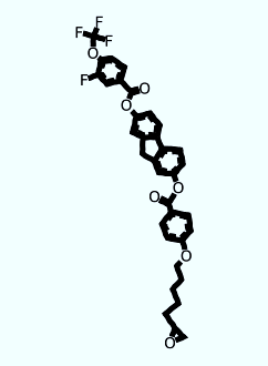 O=C(Oc1ccc2c(c1)Cc1cc(OC(=O)c3ccc(OC(F)(F)F)c(F)c3)ccc1-2)c1ccc(OCCCCCC2CO2)cc1